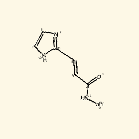 CCCNC(=O)C=Cc1ncc[nH]1